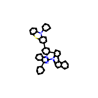 c1ccc(-c2nc(-n3c4ccc5ccccc5c4c4cccc(-c5cccc(-c6ccc7c(c6)Sc6ccccc6N7c6ccccc6)c5)c43)nc3ccccc23)cc1